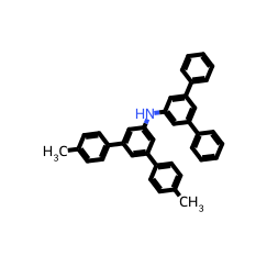 Cc1ccc(-c2cc(Nc3cc(-c4ccccc4)cc(-c4ccccc4)c3)cc(-c3ccc(C)cc3)c2)cc1